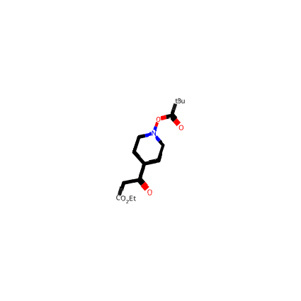 CCOC(=O)CC(=O)C1CCN(OC(=O)C(C)(C)C)CC1